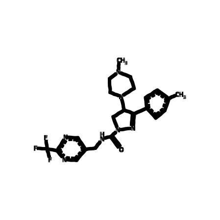 Cc1ccc(C2=NN(C(=O)NCc3cnc(C(F)(F)F)nc3)CC2N2CCN(C)CC2)cc1